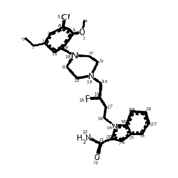 CCc1cc(Cl)c(OC)c(N2CCN(CC(F)CCn3c(C(N)=O)cc4ccccc43)CC2)c1